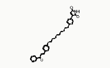 O=C1C=C(c2ccc(CCCCCCCCCCc3ccc(C=CC(=O)c4ccccc4)cc3)cc2)C(=O)N1